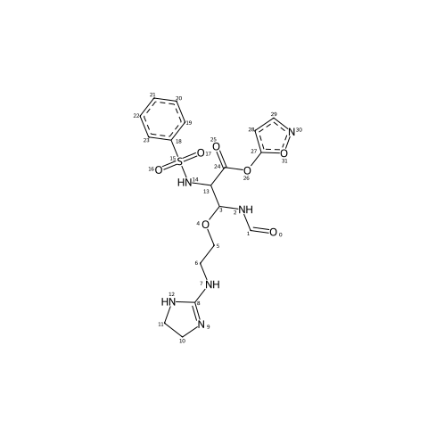 O=CNC(OCCNC1=NCCN1)C(NS(=O)(=O)c1ccccc1)C(=O)Oc1ccno1